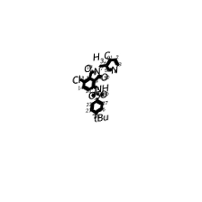 Cc1ccncc1CN1C(=O)c2c(Cl)ccc(NS(=O)(=O)c3ccc(C(C)(C)C)cc3)c2C1=O